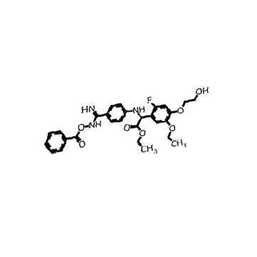 CCOC(=O)[C@@H](Nc1ccc(C(=N)NOC(=O)c2ccccc2)cc1)c1cc(OCC)c(OCCO)cc1F